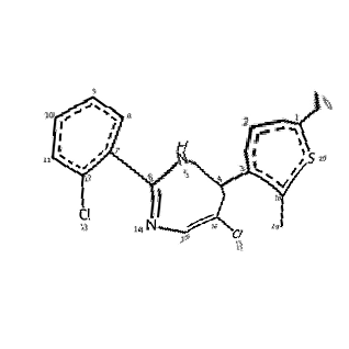 Cc1cc(C2NC(c3ccccc3Cl)=NC=C2Cl)c(C)s1